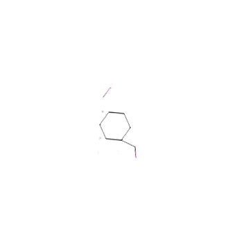 CCCC[C@@H]1C[C@H](CI)CC[C@@]1(I)CI